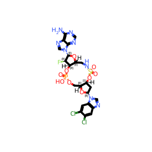 Nc1ncnc2c1ncn2[C@@H]1O[C@@H]2CNS(=O)(=O)O[C@H]3C[C@H](n4cnc5cc(Cl)c(Cl)cc54)O[C@@H]3COP(=O)(O)O[C@H]2[C@H]1F